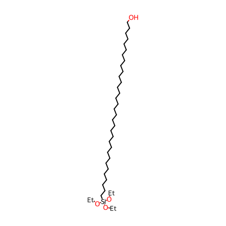 CCO[Si](CCCCCCCCCCCCCCCCCCCCCCCCCCCCCCCCCO)(OCC)OCC